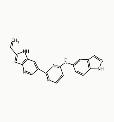 C=Cc1cc2ncc(-c3nccc(Nc4ccc5[nH]ncc5c4)n3)cc2[nH]1